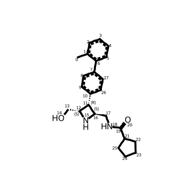 Cc1ccccc1-c1ccc([C@H]2[C@@H](CO)N[C@@H]2CNC(=O)C2CCCC2)cc1